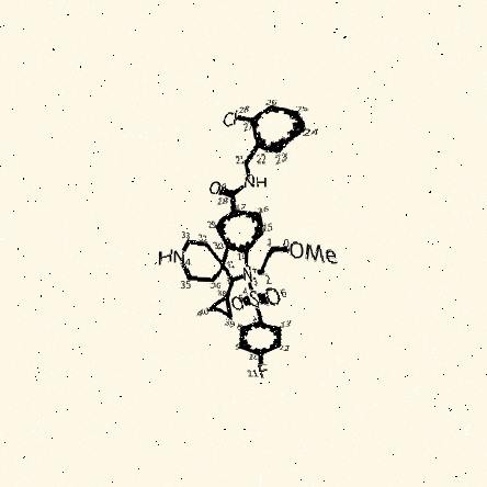 COCC[N+]1(S(=O)(=O)c2ccc(F)cc2)c2ccc(C(=O)NCc3ccccc3Cl)cc2C2(CCNCC2)C1C1CC1